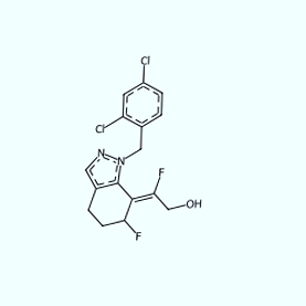 OC/C(F)=C1/c2c(cnn2Cc2ccc(Cl)cc2Cl)CCC1F